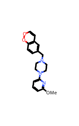 COc1cccc(N2CCN(Cc3ccc4c(c3)C=COO4)CC2)n1